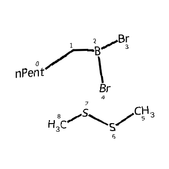 CCCCCCB(Br)Br.CSSC